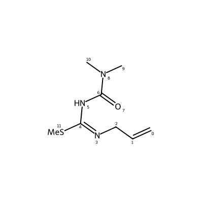 C=CCN=C(NC(=O)N(C)C)SC